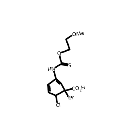 COCCOC(=S)NC1=CC(C(=O)O)(C(C)C)C(Cl)C=C1